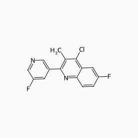 Cc1c(-c2cncc(F)c2)nc2ccc(F)cc2c1Cl